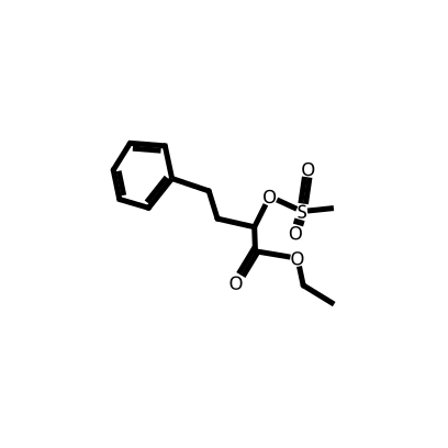 CCOC(=O)C(CCc1ccccc1)OS(C)(=O)=O